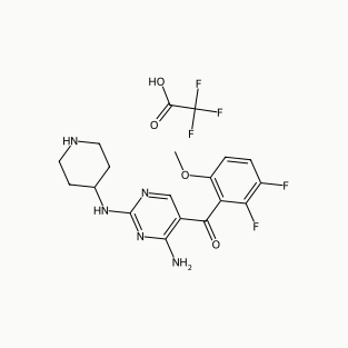 COc1ccc(F)c(F)c1C(=O)c1cnc(NC2CCNCC2)nc1N.O=C(O)C(F)(F)F